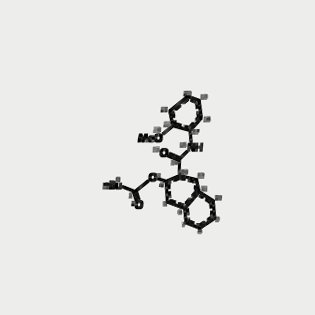 CCCCC(=O)Oc1cc2ccccc2cc1C(=O)Nc1ccccc1OC